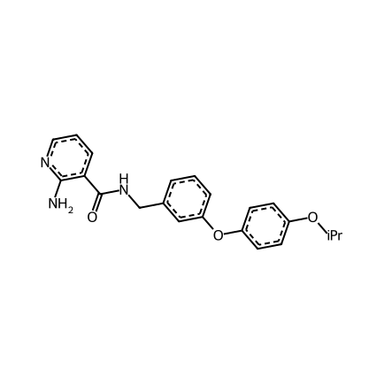 CC(C)Oc1ccc(Oc2cccc(CNC(=O)c3cccnc3N)c2)cc1